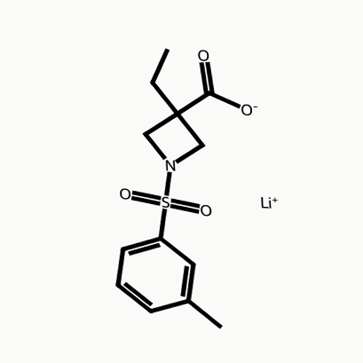 CCC1(C(=O)[O-])CN(S(=O)(=O)c2cccc(C)c2)C1.[Li+]